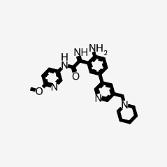 COc1ccc(NC(=O)C(=N)c2cc(-c3cncc(CN4CCCCC4)c3)ccc2N)cn1